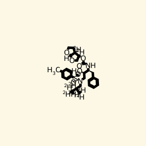 [2H]C([2H])([2H])C([2H])(CN(C[C@@H](O)[C@H](Cc1ccccc1)NC(=O)O[C@@]1([2H])CO[C@H]2OCC[C@]21[2H])S(=O)(=O)c1ccc(C)cc1)C([2H])([2H])[2H]